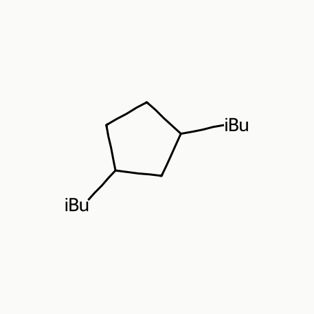 CCC(C)C1CCC(C(C)CC)C1